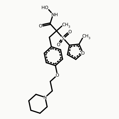 Cc1occc1S(=O)(=O)C(C)(Cc1ccc(OCCN2CCCCC2)cc1)C(=O)NO